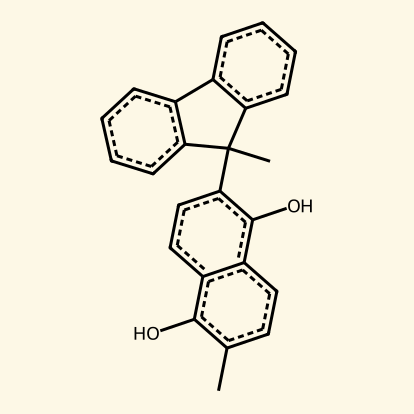 Cc1ccc2c(O)c(C3(C)c4ccccc4-c4ccccc43)ccc2c1O